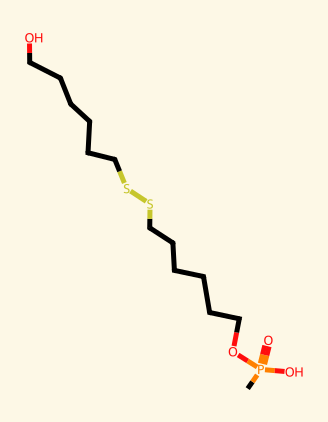 CP(=O)(O)OCCCCCCSSCCCCCCO